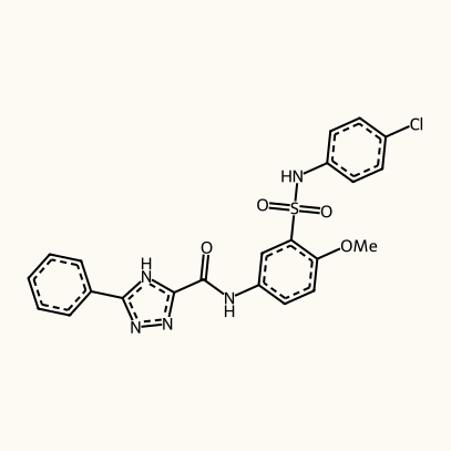 COc1ccc(NC(=O)c2nnc(-c3ccccc3)[nH]2)cc1S(=O)(=O)Nc1ccc(Cl)cc1